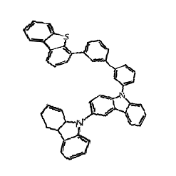 C1=CC2C(CC1)c1ccccc1N2c1ccc2c(c1)c1ccccc1n2-c1cccc(-c2cccc(-c3cccc4c3sc3ccccc34)c2)c1